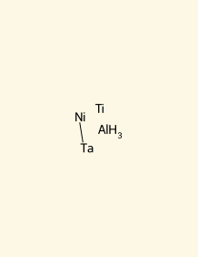 [AlH3].[Ni][Ta].[Ti]